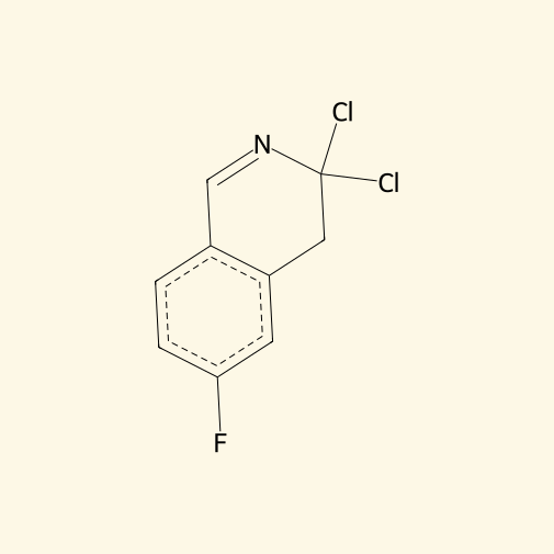 Fc1ccc2c(c1)CC(Cl)(Cl)N=C2